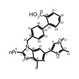 CCCc1nc2c(C)cc(-c3cn(C)c(C)n3)cc2n1Cc1ccc(-c2ccccc2C(=O)O)cc1